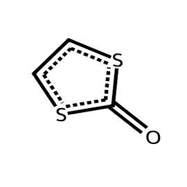 O=c1sccs1